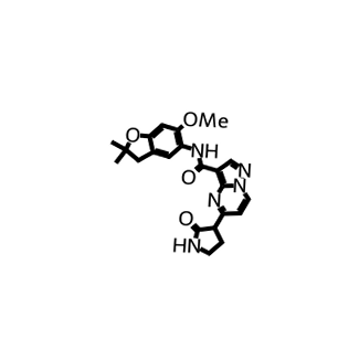 COc1cc2c(cc1NC(=O)c1cnn3ccc(C4CCNC4=O)nc13)CC(C)(C)O2